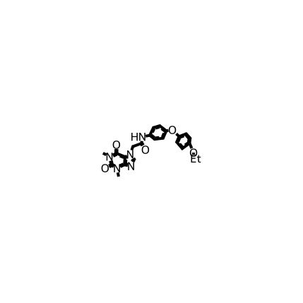 CCOc1ccc(Oc2ccc(NC(=O)Cn3cnc4c3c(=O)n(C)c(=O)n4C)cc2)cc1